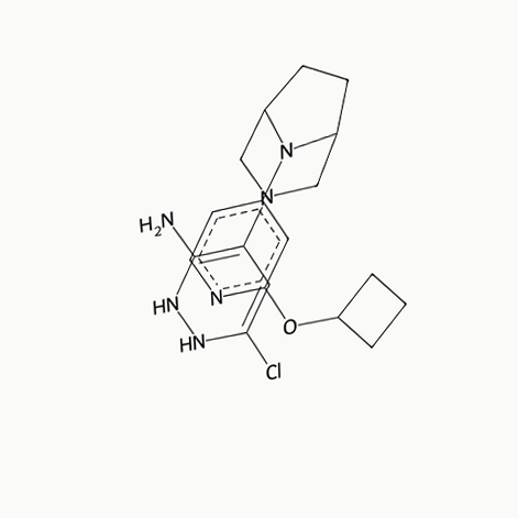 NC1=C(N2CC3CCC(C2)N3c2ccnc(OC3CCC3)c2)C=C(Cl)NN1